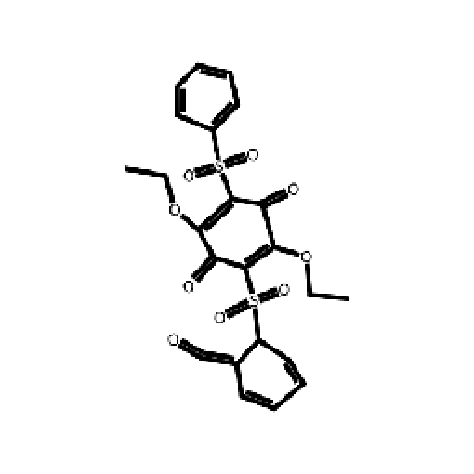 CCOC1=C(S(=O)(=O)c2ccccc2)C(=O)C(OCC)=C(S(=O)(=O)C2C=CC=CC2=C=O)C1=O